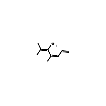 C=C/C=C(/Cl)C(N)=C(C)C